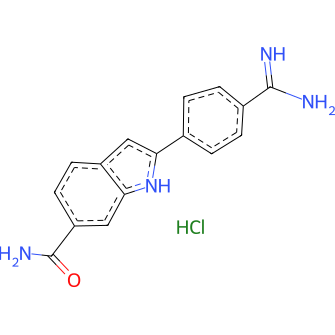 Cl.N=C(N)c1ccc(-c2cc3ccc(C(N)=O)cc3[nH]2)cc1